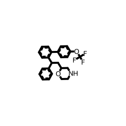 FC(F)(F)Oc1ccc(-c2ccccc2C(CC2CNCCO2)c2ccccc2)cc1